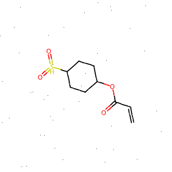 C=CC(=O)OC1CCC([SH](=O)=O)CC1